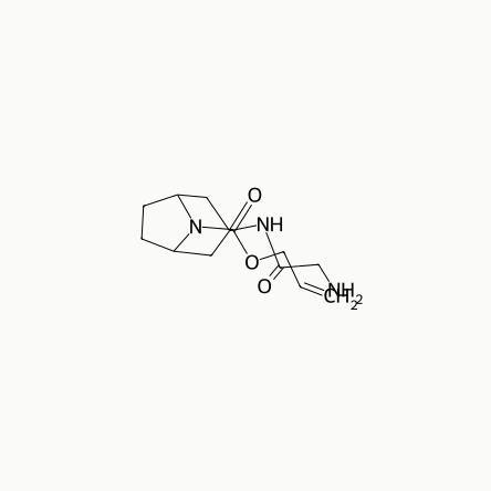 C=CCOC(=O)N1C2CCC1CC(NC(=O)CN)C2